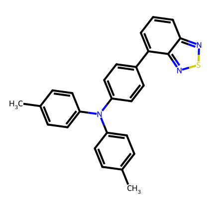 Cc1ccc(N(c2ccc(C)cc2)c2ccc(-c3cccc4nsnc34)cc2)cc1